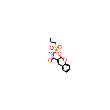 CCCS(=O)(=O)ON(C)C(=O)c1cc2ccccc2oc1=O